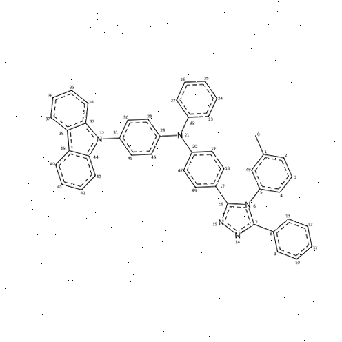 Cc1cccc(-n2c(-c3ccccc3)nnc2-c2ccc(N(c3ccccc3)c3ccc(-n4c5ccccc5c5ccccc54)cc3)cc2)c1